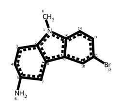 Cn1c2ccc(N)cc2c2cc(Br)ccc21